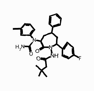 Cc1cccc(N(C(N)=O)C2CC(c3ccccc3)CC(c3ccc(F)cc3)N(NC(=O)CC(C)(C)C)C2=O)c1